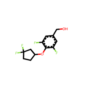 OCc1cc(F)c(OC2CCC(F)(F)C2)c(F)c1